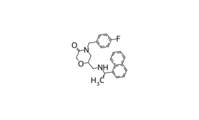 C[C@@H](NCC1CN(Cc2ccc(F)cc2)C(=O)CO1)c1cccc2ccccc12